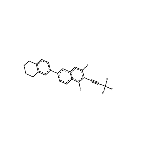 Fc1cc2cc(-c3ccc4c(c3)CCCC4)ccc2c(F)c1C#CC(F)(F)F